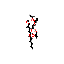 CC(O)CO.CCCCCCCCCCC=O.CCOC(C)OCC